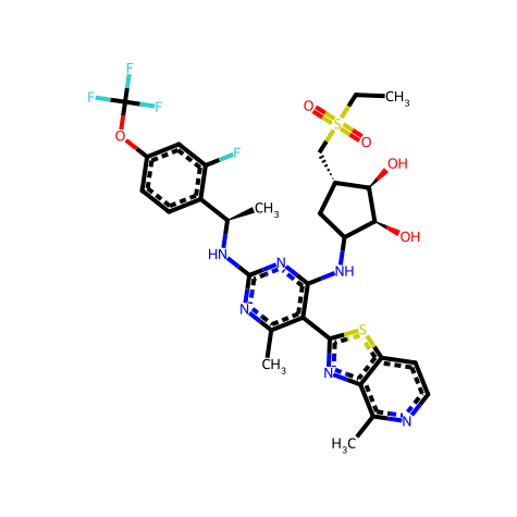 CCS(=O)(=O)C[C@H]1CC(Nc2nc(N[C@H](C)c3ccc(OC(F)(F)F)cc3F)nc(C)c2-c2nc3c(C)nccc3s2)[C@H](O)[C@@H]1O